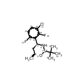 C=CC[C@H](N[S+]([O-])C(C)(C)C)c1c(F)ccc(Cl)c1F